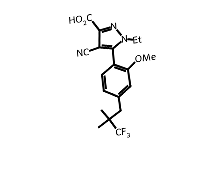 CCn1nc(C(=O)O)c(C#N)c1-c1ccc(CC(C)(C)C(F)(F)F)cc1OC